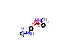 CC(OC(=O)[C@@H](COc1ccc(C(=N)NCc2ncc[nH]2)cc1)ON)c1ccccc1